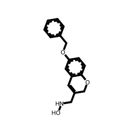 ONCC1=Cc2cc(OCc3ccccc3)ccc2OC1